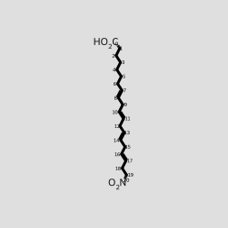 O=C(O)CCCCCCC=CCC=CCC=CCC=CCC[N+](=O)[O-]